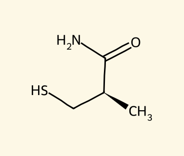 C[C@@H](CS)C(N)=O